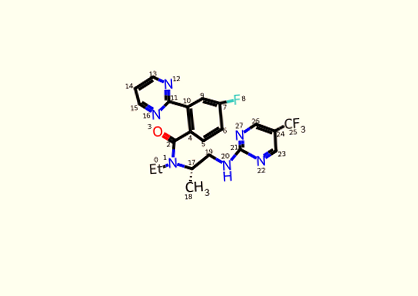 CCN(C(=O)c1ccc(F)cc1-c1ncccn1)[C@@H](C)CNc1ncc(C(F)(F)F)cn1